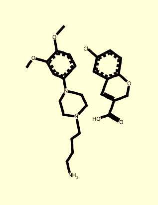 COc1ccc(N2CCN(CCCCN)CC2)cc1OC.O=C(O)C1=Cc2cc(Cl)ccc2OC1